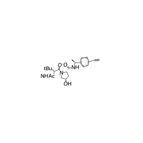 C#Cc1ccc([C@H](C)NC(=O)[C@@H]2C[C@@H](O)CN2C(=O)C(NC(C)=O)C(C)(C)C)cc1